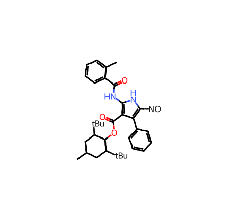 Cc1ccccc1C(=O)Nc1[nH]c(N=O)c(-c2ccccc2)c1C(=O)OC1C(C(C)(C)C)CC(C)CC1C(C)(C)C